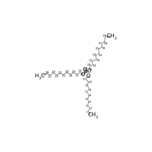 CCCCCCCCCCCCOP(=O)(OCCCCCCCCCCCC)OCCCCCCCCCCCC